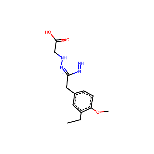 CCc1cc(C/C(N=N)=N/NCC(=O)O)ccc1OC